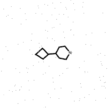 C1CC(C2CC[N]CC2)C1